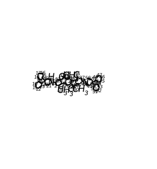 Cc1cc(N2C=CC(c3ccccc3)(c3ccccc3)C=C2)cc2c1-c1cc3c(cc1C2(C)C)-c1c(C)cc(N2C=CC(c4ccccc4)(c4ccccc4)C=C2)cc1C3(C)C